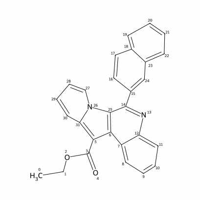 CCOC(=O)c1c2c3ccccc3nc(-c3ccc4ccccc4c3)c2n2ccccc12